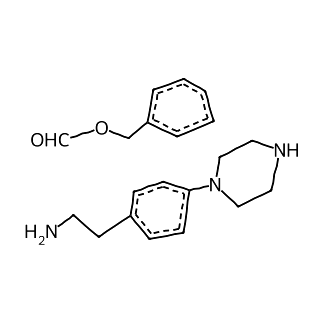 NCCc1ccc(N2CCNCC2)cc1.O=COCc1ccccc1